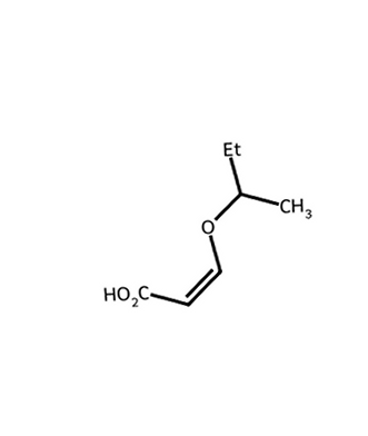 CCC(C)O/C=C\C(=O)O